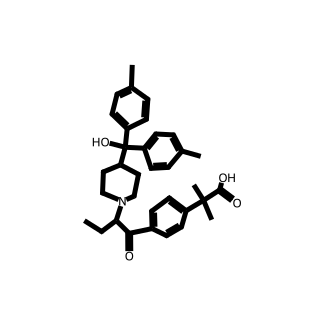 CCC(C(=O)c1ccc(C(C)(C)C(=O)O)cc1)N1CCC(C(O)(c2ccc(C)cc2)c2ccc(C)cc2)CC1